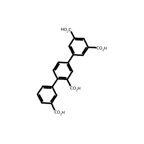 O=C(O)c1cc(C(=O)O)cc(-c2ccc(-c3cccc(C(=O)O)c3)c(C(=O)O)c2)c1